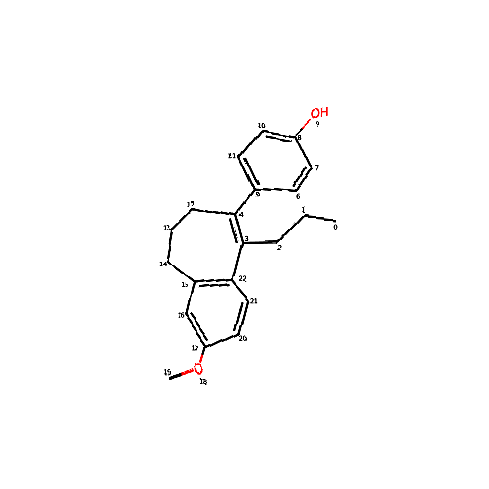 CCCC1=C(c2ccc(O)cc2)CCCc2cc(OC)ccc21